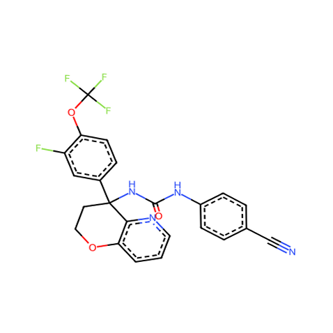 N#Cc1ccc(NC(=O)NC2(c3ccc(OC(F)(F)F)c(F)c3)CCOc3cccnc32)cc1